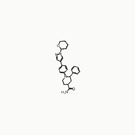 NC(=O)C1CCN(c2ccc(-c3cnn(C4CCCCO4)c3)cc2)C(c2ccccc2)C1